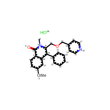 COc1ccc2c(=O)n(C)c(COCc3ccncc3)c(-c3ccccc3)c2c1.Cl